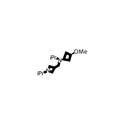 CO[C@H]1C[C@H](N(CC2CN(C(C)C)C2)C(C)C)C1